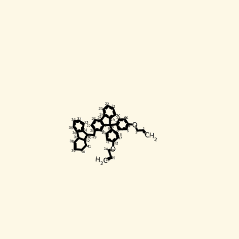 C=CCOc1ccc(C2(c3ccc(OCC=C)cc3)c3ccccc3-c3ccc(CC4c5ccccc5C5C=CCCC54)cc32)cc1